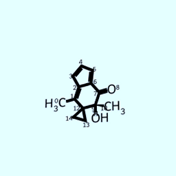 CC1=C2C=CC=C2C(=O)[C@](C)(O)C12CC2